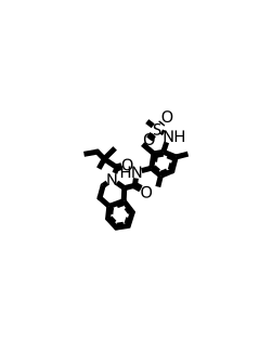 CCC(C)(C)C(=O)N1CCc2ccccc2C1C(=O)Nc1c(C)cc(C)c(NS(C)(=O)=O)c1C